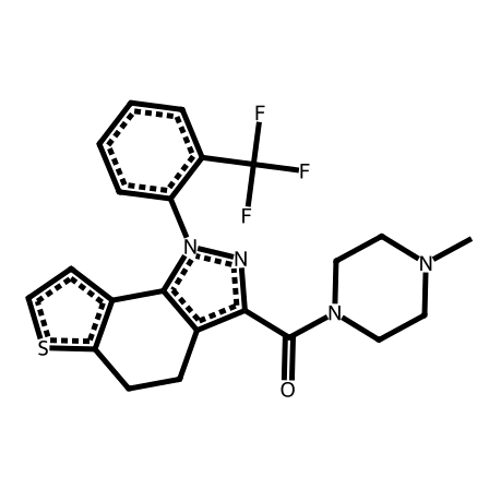 CN1CCN(C(=O)c2nn(-c3ccccc3C(F)(F)F)c3c2CCc2sccc2-3)CC1